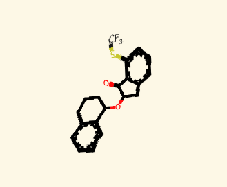 O=C1c2c(cccc2SC(F)(F)F)CC1OC1CCCc2ccccc21